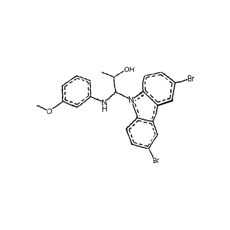 COc1cccc(NC(C(C)O)n2c3ccc(Br)cc3c3cc(Br)ccc32)c1